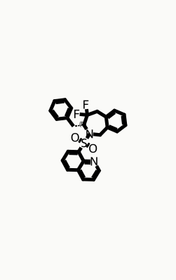 O=S(=O)(c1cccc2cccnc12)N1Cc2ccccc2CC(F)(F)[C@H]1Cc1ccccc1